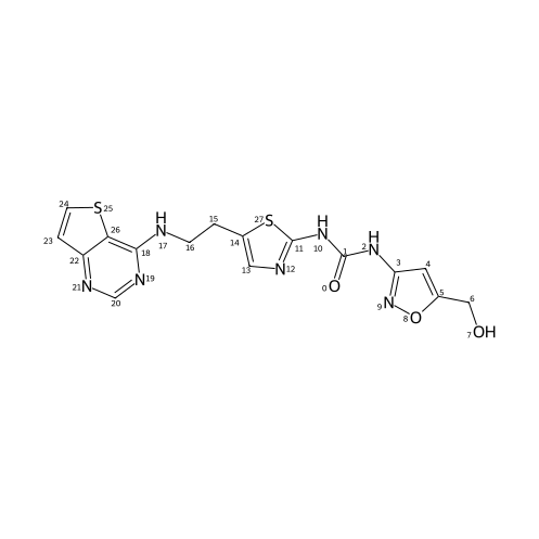 O=C(Nc1cc(CO)on1)Nc1ncc(CCNc2ncnc3ccsc23)s1